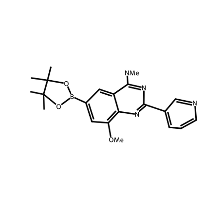 CNc1nc(-c2cccnc2)nc2c(OC)cc(B3OC(C)(C)C(C)(C)O3)cc12